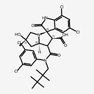 CC(C)(C)C(C)(C)CN(C(=O)C1[C@H]2C[C@](C)(O)CN2[C@]2(C(=O)Nc3c(Cl)cc(Cl)cc32)[C@H]1C(=O)O)c1cc(Cl)cc(Cl)c1